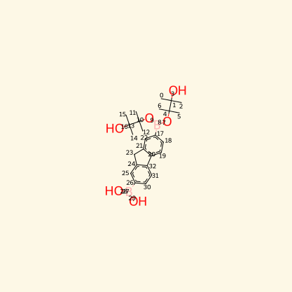 CC(C)(O)C(C)(C)OB(OC(C)(C)C(C)(C)O)c1ccc2c(c1)Cc1cc(B(O)O)ccc1-2